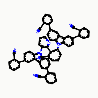 N#Cc1ccccc1-c1ccc2c(c1)c1cc(-c3ccccc3C#N)ccc1n2-c1cccnc1-c1c(C#N)cccc1-n1c2ccc(-c3ccccc3C#N)cc2c2cc(-c3ccccc3C#N)ccc21